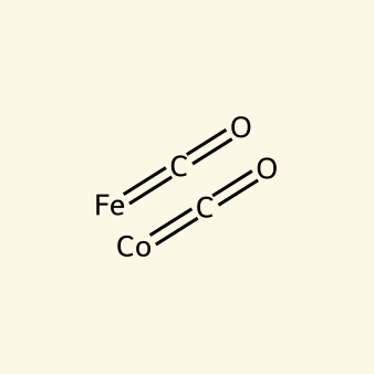 O=[C]=[Co].O=[C]=[Fe]